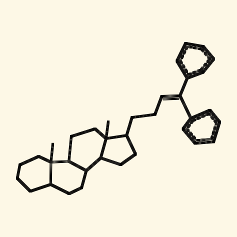 CC12CCCCC1CCC1C2CCC2(C)C(CCC=C(c3ccccc3)c3ccccc3)CCC12